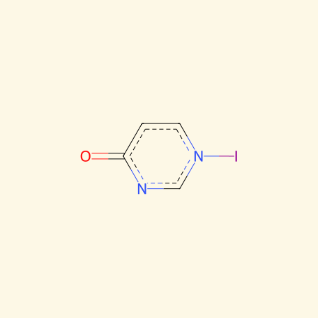 O=c1ccn(I)cn1